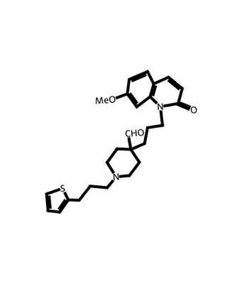 COc1ccc2ccc(=O)n(CCCC3(C=O)CCN(CCCc4cccs4)CC3)c2c1